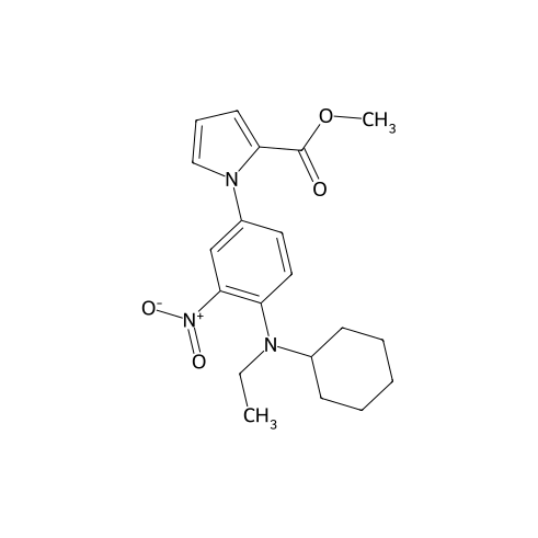 CCN(c1ccc(-n2cccc2C(=O)OC)cc1[N+](=O)[O-])C1CCCCC1